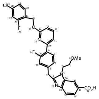 COCCn1c(Cc2ccc(-c3cccc(OCc4ccc(Cl)cc4F)n3)c(F)c2)nc2ccc(C(=O)O)cc21